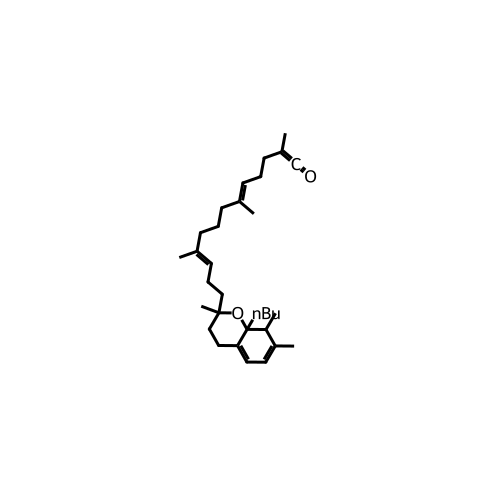 CCCCC12OC(C)(CC/C=C(\C)CCC/C(C)=C/CCC(C)=C=O)CCC1=CC=C(C)C2C